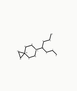 CCCC(CCC)N1CCC2(CC1)CC2